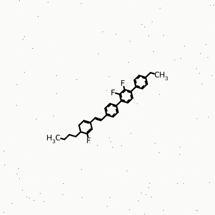 CCCCC1CC=C(/C=C/c2ccc(-c3ccc(-c4ccc(CC)cc4)c(F)c3F)cc2)C=C1F